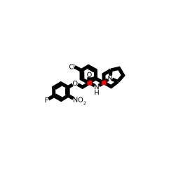 O=C(COc1ccc(F)cc1[N+](=O)[O-])NC1CC2CCC(C1)N2Cc1ccc(Cl)cc1